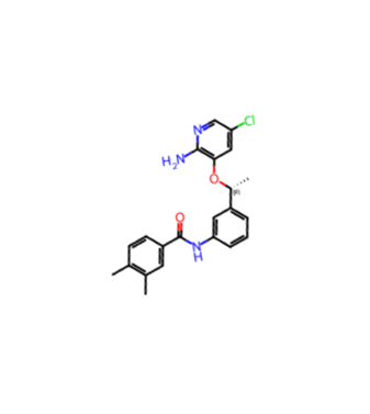 Cc1ccc(C(=O)Nc2cccc([C@@H](C)Oc3cc(Cl)cnc3N)c2)cc1C